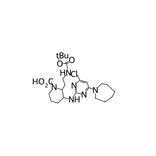 CC(C)(C)OC(=O)NCCC1C(Nc2nc(Cl)cc(N3CCCCCC3)n2)CCCN1C(=O)O